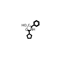 O=C(N[C@H](C(=O)O)c1ccccc1)C1CCCC1